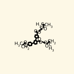 C=C(C)C(=O)OCCOC(=O)c1ccc(-c2cc(-c3ccc(OC(=O)C(=C)C)cc3)ccc2C(=O)OCCOC(=O)C(=C)C)cc1